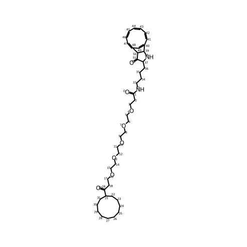 O=C(CCOCCOCCOCCOCCOCCC(=O)C1CCCCCCCCCC1)NCCCCC1NC2c3cccccccc(c3)C2C1=O